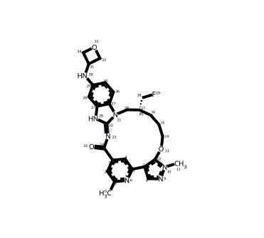 Cc1cc2cc(n1)-c1cnn(C)c1OCCC[C@@H](CF)CN1/C(=N/C2=O)Nc2cc(NC3COC3)ccc21